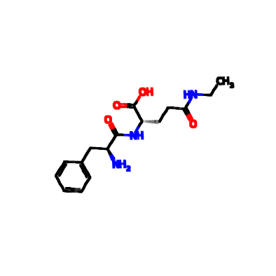 CCNC(=O)CC[C@H](NC(=O)[C@@H](N)Cc1ccccc1)C(=O)O